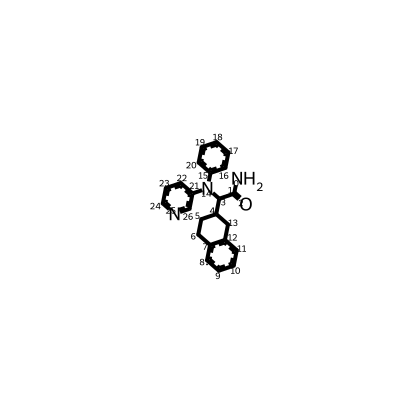 NC(=O)C(C1CCc2[c]cccc2C1)N(c1ccccc1)c1cccnc1